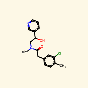 CCCN(CC(O)c1cccnc1)C(=O)Cc1ccc(C)c(Cl)c1